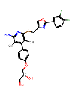 [C-]#[N+]c1c(N)nc(SCc2coc(-c3ccc(F)c(F)c3)n2)c(C#N)c1-c1ccc(OC[C@@H](O)CO)cc1